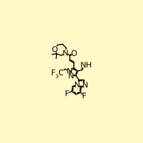 CC1(C)CN(C(=O)/C=C/c2c(C=N)c(-c3cnc4c(F)cc(F)cn34)nn2CC(F)(F)F)CCCO1